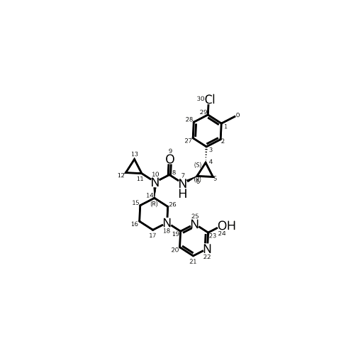 Cc1cc([C@@H]2C[C@H]2NC(=O)N(C2CC2)[C@@H]2CCCN(c3ccnc(O)n3)C2)ccc1Cl